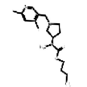 CCCCOC(=O)N(C)C1CCN(Cc2cnc(F)cc2I)C1